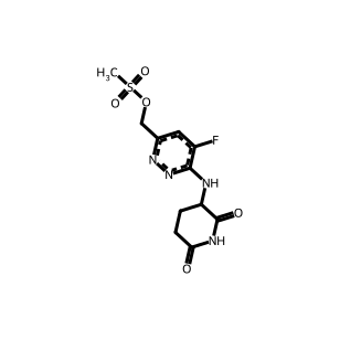 CS(=O)(=O)OCc1cc(F)c(NC2CCC(=O)NC2=O)nn1